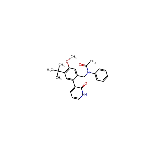 COc1cc(CN(C(C)=O)c2ccccc2)c(-c2ccc[nH]c2=O)cc1C(C)(C)C